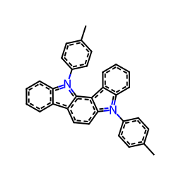 Cc1ccc(-n2c3ccccc3c3c2ccc2c4ccccc4n(-c4ccc(C)cc4)c23)cc1